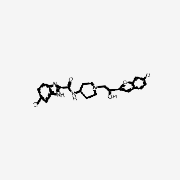 O=C(NC1CCN(CC(O)c2cc3ccc(Cl)cc3o2)CC1)c1nc2ccc(Cl)cc2[nH]1